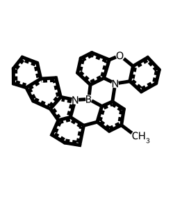 Cc1cc2c3c(c1)N1c4ccccc4Oc4cccc(c41)B3n1c3cc4ccccc4cc3c3cccc-2c31